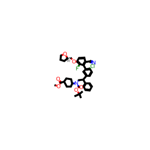 COC(=O)C1CCC(N(CC(c2ccccc2)c2ccc(Cl)c(-c3c(C#N)ccc(OC[C@@H]4CCCO4)c3F)c2)C(=O)OC(C)(C)C)CC1